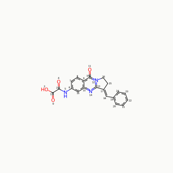 O=C(O)C(=O)Nc1ccc2c(=O)n3c(nc2c1)C(=Cc1ccccc1)CC3